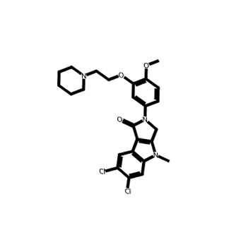 COc1ccc(N2Cc3c(c4cc(Cl)c(Cl)cc4n3C)C2=O)cc1OCCN1CCCCC1